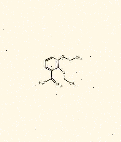 C=C(C)c1cccc(OCC)c1OCC